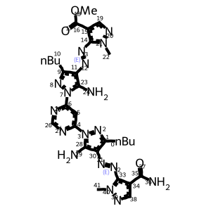 CCCCc1nn(-c2cc(-n3nc(CCCC)c(/N=N/c4c(C(=O)OC)cnn4C)c3N)ncn2)c(N)c1/N=N/c1c(C(N)=O)cnn1C